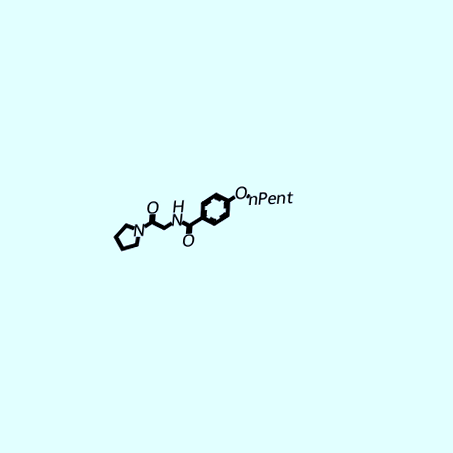 CCCCCOc1ccc(C(=O)NCC(=O)N2CCCC2)cc1